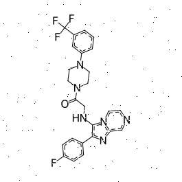 O=C(CNc1c(-c2ccc(F)cc2)nc2cnccn12)N1CCN(c2cccc(C(F)(F)F)c2)CC1